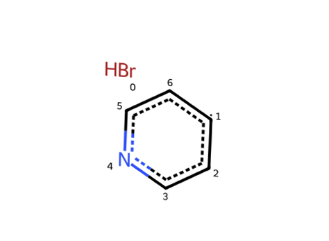 Br.[c]1ccncc1